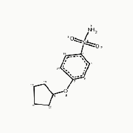 NS(=O)(=O)c1ccc(OC2CCCC2)cc1